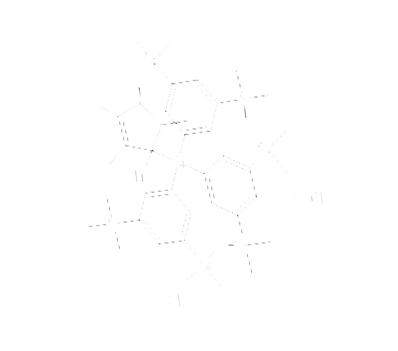 CC1=C(C)[C]([Ti+3])([Si](c2cc([Si](C)(C)C)cc([Si](C)(C)C)c2)(c2cc([Si](C)(C)C)cc([Si](C)(C)C)c2)c2cc([Si](C)(C)C)cc([Si](C)(C)C)c2)C(C)=C1C.[Cl-].[Cl-].[Cl-]